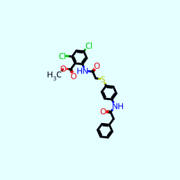 COC(=O)c1c(Cl)cc(Cl)cc1NC(=O)CSc1ccc(NC(=O)Cc2ccccc2)cc1